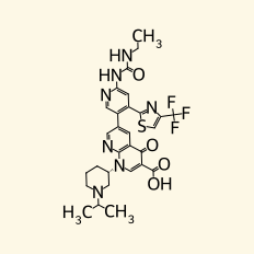 CCNC(=O)Nc1cc(-c2nc(C(F)(F)F)cs2)c(-c2cnc3c(c2)c(=O)c(C(=O)O)cn3[C@H]2CCCN(C(C)C)C2)cn1